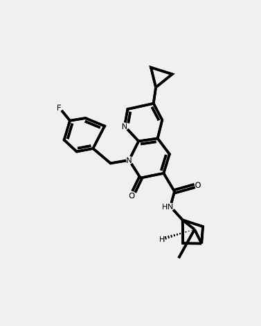 C[C@@H]1C2CC1(NC(=O)c1cc3cc(C4CC4)cnc3n(Cc3ccc(F)cc3)c1=O)C2